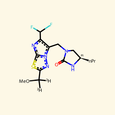 [2H]C([2H])(OC)c1nn2c(CN3C[C@@H](CCC)NC3=O)c(C(F)F)nc2s1